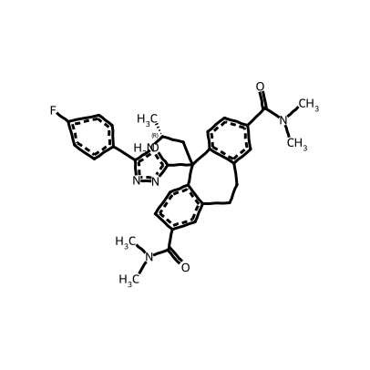 C[C@@H](N)CC1(c2nnc(-c3ccc(F)cc3)o2)c2ccc(C(=O)N(C)C)cc2CCc2cc(C(=O)N(C)C)ccc21